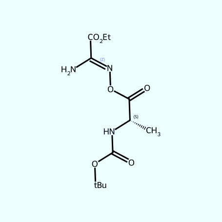 CCOC(=O)/C(N)=N/OC(=O)[C@H](C)NC(=O)OC(C)(C)C